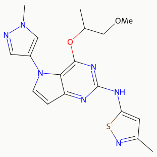 COCC(C)Oc1nc(Nc2cc(C)ns2)nc2ccn(-c3cnn(C)c3)c12